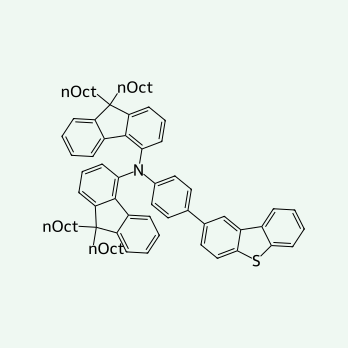 CCCCCCCCC1(CCCCCCCC)c2ccccc2-c2c(N(c3ccc(-c4ccc5sc6ccccc6c5c4)cc3)c3cccc4c3-c3ccccc3C4(CCCCCCCC)CCCCCCCC)cccc21